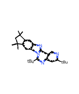 CC(C)(C)c1cc2nc(C(C)(C)C)n3c4cc5c(cc4nc3c2cn1)C(C)(C)CC5(C)C